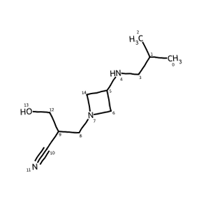 CC(C)CNC1CN(CC(C#N)CO)C1